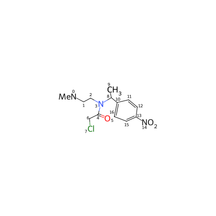 CNCCN(C(=O)CCl)C(C)c1ccc([N+](=O)[O-])cc1